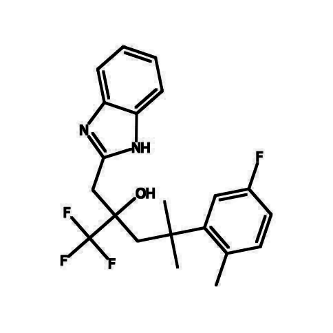 Cc1ccc(F)cc1C(C)(C)CC(O)(Cc1nc2ccccc2[nH]1)C(F)(F)F